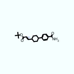 CC(C)(C)OC(=O)/C=C/C1CCC(c2ccc(C(N)=O)cc2)CC1